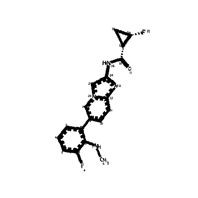 CNc1c(F)cccc1-c1ccc2nc(NC(=O)[C@@H]3C[C@@H]3F)cn2c1